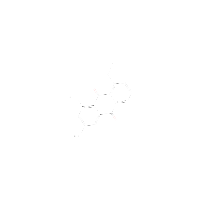 CC(=O)Cc1cccc2c1C(=O)c1c(OC(C)=O)cc(C=O)cc1C2=O